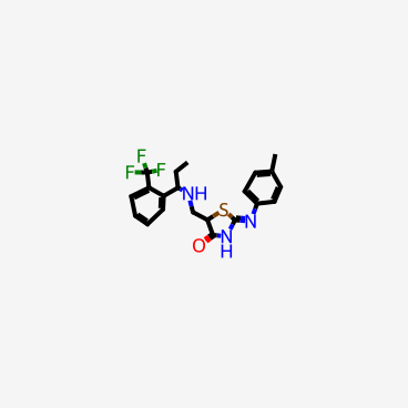 CCC(NCC1SC(=Nc2ccc(C)cc2)NC1=O)c1ccccc1C(F)(F)F